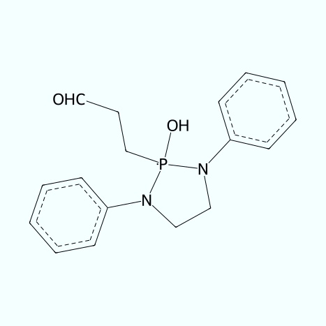 O=CCC[P]1(O)N(c2ccccc2)CCN1c1ccccc1